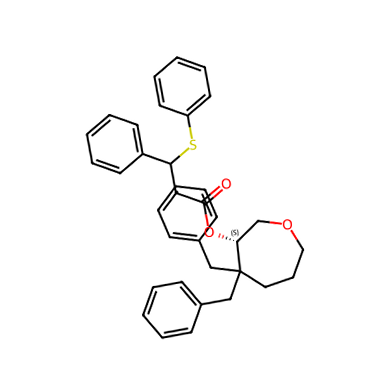 O=C(CC(Sc1ccccc1)c1ccccc1)O[C@@H]1COCCCC1(Cc1ccccc1)Cc1ccccc1